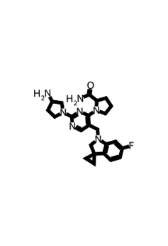 NC(=O)C1CCCN1c1nc(N2CCC(N)C2)ncc1CN1CC2(CC2)c2ccc(F)cc21